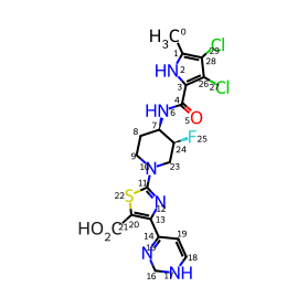 Cc1[nH]c(C(=O)N[C@@H]2CCN(c3nc(C4=NCNC=C4)c(C(=O)O)s3)C[C@@H]2F)c(Cl)c1Cl